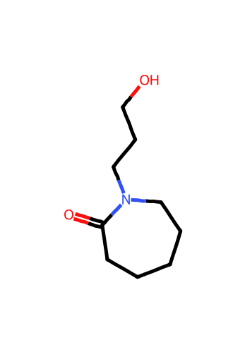 O=C1CCCCCN1CCCO